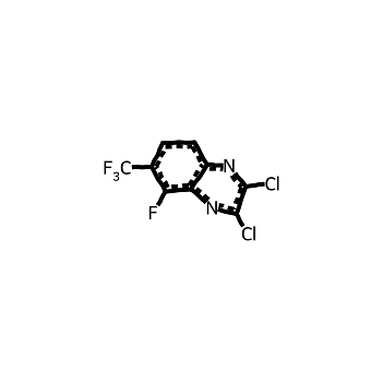 Fc1c(C(F)(F)F)ccc2nc(Cl)c(Cl)nc12